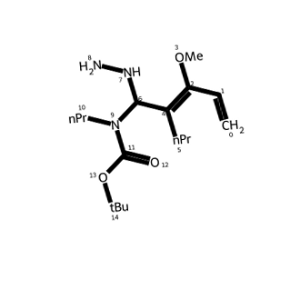 C=C/C(OC)=C(\CCC)C(NN)N(CCC)C(=O)OC(C)(C)C